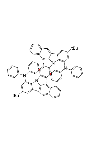 CC(C)(C)c1cc(N(c2ccccc2)c2ccccc2)c2c(c1)c1cc3ccccc3c3c4nc5c(nc4n2c13)c1c2ccccc2cc2c3cc(C(C)(C)C)cc(N(c4ccccc4)c4ccccc4)c3n5c21